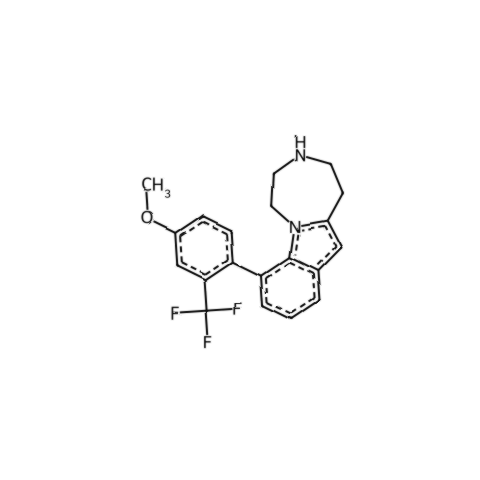 COc1ccc(-c2cccc3cc4n(c23)CCNCC4)c(C(F)(F)F)c1